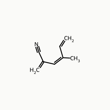 C=C/C(C)=C\C(=C)C#N